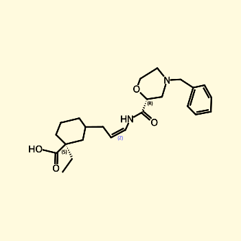 CC[C@]1(C(=O)O)CCCC(C/C=C\NC(=O)[C@H]2CN(Cc3ccccc3)CCO2)C1